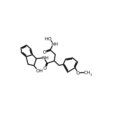 COc1cccc(CC(CC(=O)NO)C(=O)NC2c3ccccc3CC2O)c1